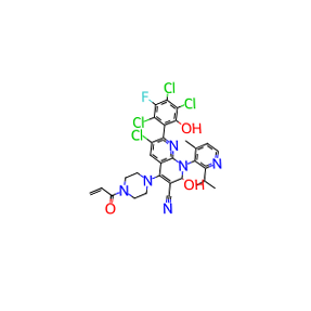 C=CC(=O)N1CCN(C2=C(C#N)C(O)N(c3c(C)ccnc3C(C)C)c3nc(-c4c(O)c(Cl)c(Cl)c(F)c4Cl)c(Cl)cc32)CC1